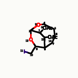 CC(=O)OC1C2OCCCCC(C(CI)O2)C1OC(C)=O